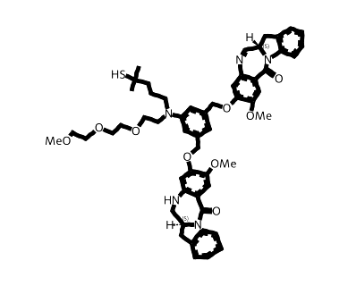 COCCOCCOCCN(CCCC(C)(C)S)c1cc(COc2cc3c(cc2OC)C(=O)N2c4ccccc4C[C@H]2C=N3)cc(COc2cc3c(cc2OC)C(=O)N2c4ccccc4C[C@H]2CN3)c1